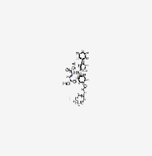 CCN(CC)CCOc1ccc(NC2=NN(c3ccccc3)CC2)cc1.O=C(O)/C=C/C(=O)O